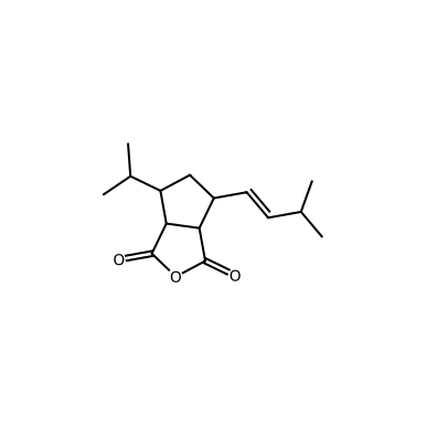 CC(C)C=CC1CC(C(C)C)C2C(=O)OC(=O)C12